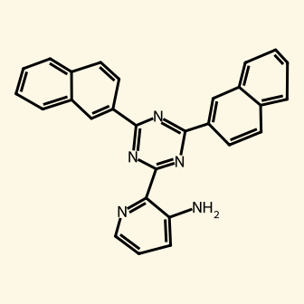 Nc1cccnc1-c1nc(-c2ccc3ccccc3c2)nc(-c2ccc3ccccc3c2)n1